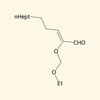 CCCCCCCCCC=C(C=O)OCOCC